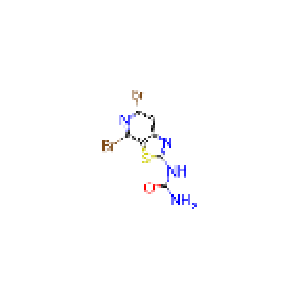 NC(=O)Nc1nc2cc(Br)nc(Br)c2s1